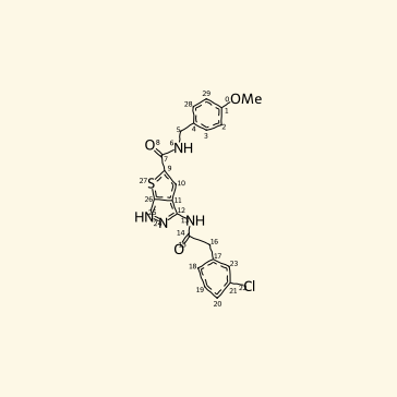 COc1ccc(CNC(=O)c2cc3c(NC(=O)Cc4cccc(Cl)c4)n[nH]c3s2)cc1